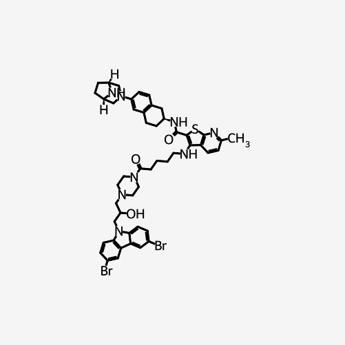 Cc1ccc2c(NCCCCC(=O)N3CCN(CC(O)Cn4c5ccc(Br)cc5c5cc(Br)ccc54)CC3)c(C(=O)N[C@H]3CCc4cc(N5C[C@H]6CC[C@@H](C5)N6)ccc4C3)sc2n1